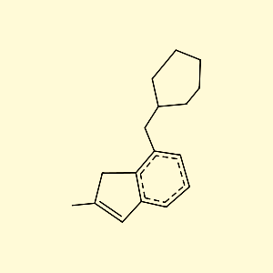 CC1=Cc2cccc(CC3CCCCC3)c2C1